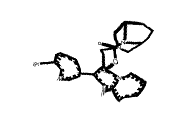 CC(C)c1ccc(-c2nc3ccccn3c2CN2CC3CCC(C2)N3C(=O)OC(C)(C)C)cn1